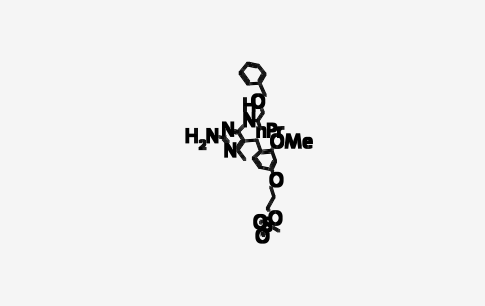 CCCC(COCc1ccccc1)Nc1nc(N)nc(C)c1Cc1ccc(OCCCOS(C)(=O)=O)cc1OC